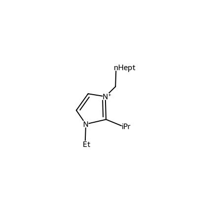 CCCCCCCC[n+]1ccn(CC)c1C(C)C